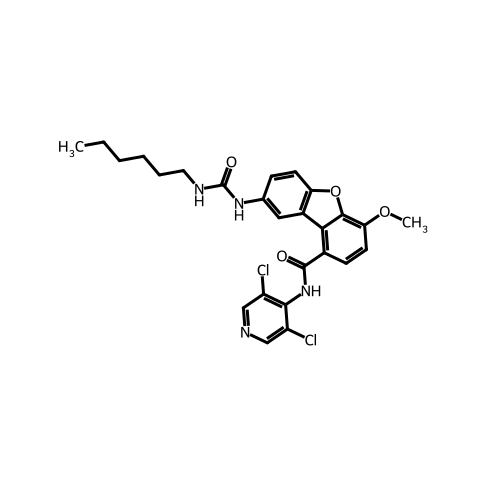 CCCCCCNC(=O)Nc1ccc2oc3c(OC)ccc(C(=O)Nc4c(Cl)cncc4Cl)c3c2c1